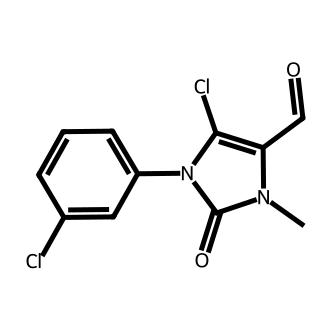 Cn1c(C=O)c(Cl)n(-c2cccc(Cl)c2)c1=O